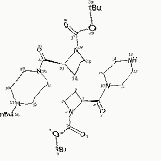 CC(C)(C)OC(=O)N1CC[C@H]1C(=O)N1CCNCC1.CCCCN1CCN(C(=O)[C@@H]2CCN2C(=O)OC(C)(C)C)CC1